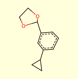 c1cc(C2CC2)cc(C2OCCO2)c1